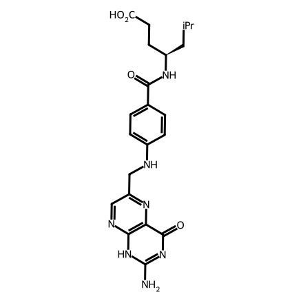 CC(C)C[C@H](CCC(=O)O)NC(=O)c1ccc(NCc2cnc3[nH]c(N)nc(=O)c3n2)cc1